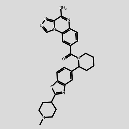 CN1CCC(c2nc3cc(C4CCCCN4C(=O)c4ccc5nc(N)c6nncn6c5c4)ccc3s2)CC1